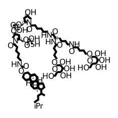 CC(C)CCCC(C)C1CC[C@@H]2[C@@H]3CC=C4CC(OC(=O)NCCCCCC(=O)N5C[C@H](OP(=O)(O)OC[C@@H]6C[C@@H](O)CN6C(=O)CCCCCNC(=O)[C@H](CCCCNC(=O)CCCCOC6OC(CO)C(O)C(O)C6O)NC(=O)CCCCOC6OC(CO)C(O)C(O)C6O)C[C@H]5COP(=O)(O)S)CC[C@]4(C)[C@@H]3CC[C@]12C